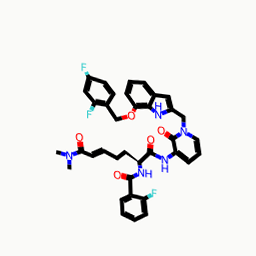 CN(C)C(=O)/C=C/CC[C@H](NC(=O)c1ccccc1F)C(=O)Nc1cccn(Cc2cc3cccc(OCc4ccc(F)cc4F)c3[nH]2)c1=O